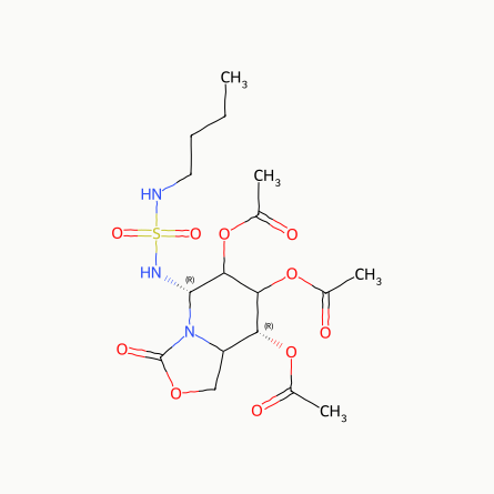 CCCCNS(=O)(=O)N[C@@H]1C(OC(C)=O)C(OC(C)=O)[C@H](OC(C)=O)C2COC(=O)N21